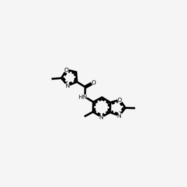 Cc1nc(C(=O)Nc2cc3oc(C)nc3nc2C)co1